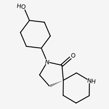 O=C1N(C2CCC(O)CC2)CC[C@]12CCCNC2